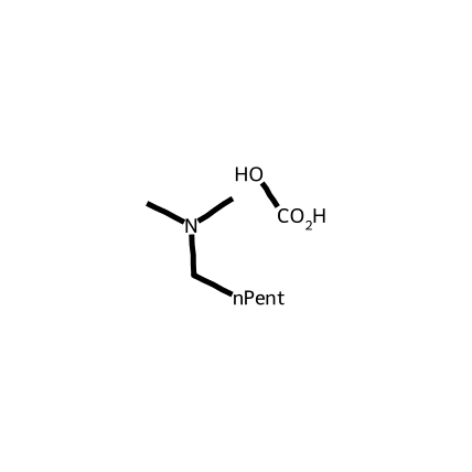 CCCCCCN(C)C.O=C(O)O